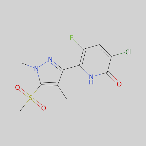 Cc1c(-c2[nH]c(=O)c(Cl)cc2F)nn(C)c1S(C)(=O)=O